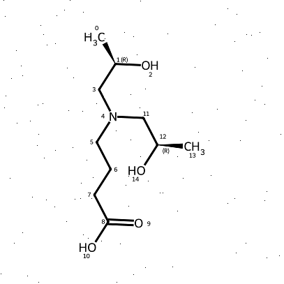 C[C@@H](O)CN(CCCC(=O)O)C[C@@H](C)O